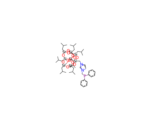 CC(C)C[Si]12O[Si]3(CC(C)C)O[Si]4(CC(C)C)O[Si](CC(C)C)(O1)O[Si]1(CC(C)C)O[Si](CC(C)C)(O2)O[Si](CC(C)C)(O3)O[Si](Cn2cc[n+](CP(c3ccccc3)c3ccccc3)c2)(O4)O1